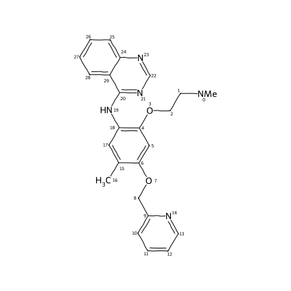 CNCCOc1cc(OCc2ccccn2)c(C)cc1Nc1ncnc2ccccc12